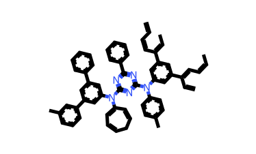 C=C/C=C\C(=C/C)c1cc(/C(C=C)=C/C=C\C)cc(N(c2ccc(C)cc2)c2nc(-c3ccccc3)nc(N(C3=CC=CCC=C3)c3cc(-c4ccccc4)cc(-c4cccc(C)c4)c3)n2)c1